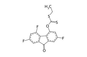 CCSC(=S)Oc1cc(F)cc2c1-c1c(F)cc(F)cc1C2=O